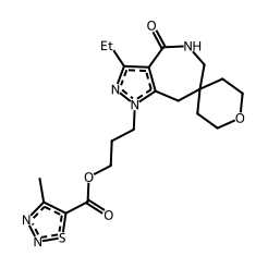 CCc1nn(CCCOC(=O)c2snnc2C)c2c1C(=O)NCC1(CCOCC1)C2